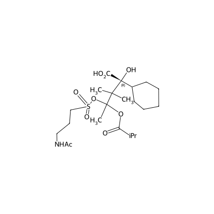 CC(=O)NCCCS(=O)(=O)OC(C)(OC(=O)C(C)C)C(C)(C)[C@@](O)(C(=O)O)C1CCCCC1